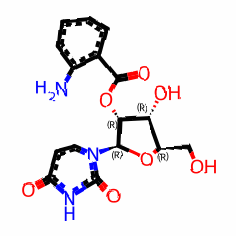 Nc1ccccc1C(=O)O[C@@H]1[C@H](O)[C@@H](CO)O[C@H]1n1ccc(=O)[nH]c1=O